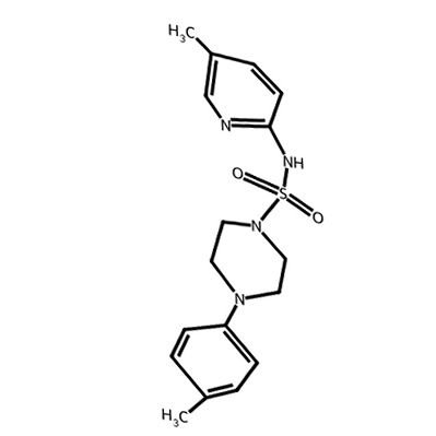 Cc1ccc(N2CCN(S(=O)(=O)Nc3ccc(C)cn3)CC2)cc1